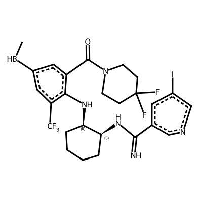 CBc1cc(C(=O)N2CCC(F)(F)CC2)c(N[C@@H]2CCCC[C@@H]2NC(=N)c2cncc(I)c2)c(C(F)(F)F)c1